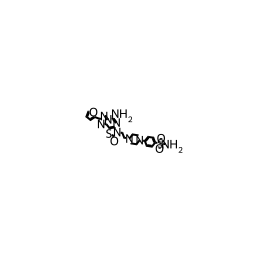 Nc1nc2c(sc(=O)n2CCN2CCN(c3ccc(S(N)(=O)=O)cc3)CC2)c2nc(-c3ccco3)nn12